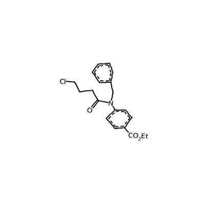 CCOC(=O)c1ccc(N(Cc2ccccc2)C(=O)CCCCl)cc1